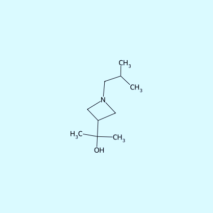 CC(C)CN1CC(C(C)(C)O)C1